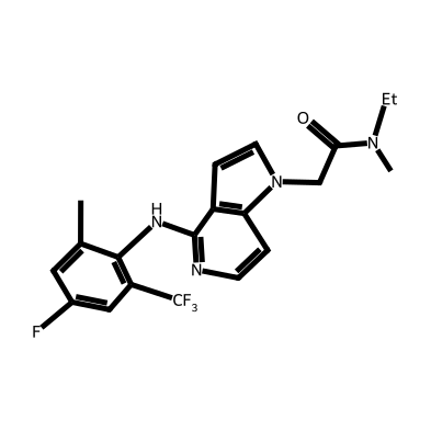 CCN(C)C(=O)Cn1ccc2c(Nc3c(C)cc(F)cc3C(F)(F)F)nccc21